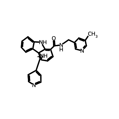 Cc1cncc(CNC(=O)C2=C3Nc4ccccc4C34NCN(c3ccncc3)C4C=C2)c1